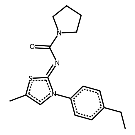 CCc1ccc(-n2cc(C)s/c2=N\C(=O)N2CCCC2)cc1